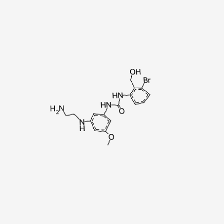 COc1cc(NCCN)cc(NC(=O)Nc2cccc(Br)c2CO)c1